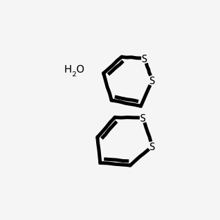 C1=CSSC=C1.C1=CSSC=C1.O